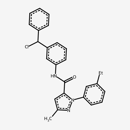 CCc1cccc(-n2nc(C)cc2C(=O)Nc2cccc(C(Cl)c3ccccc3)c2)c1